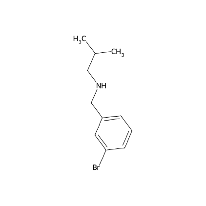 CC(C)CNCc1cccc(Br)c1